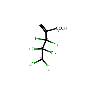 C=C(C(=O)O)C(F)(F)C(F)(F)C(F)F